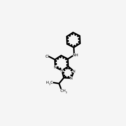 CC(C)c1nnc2c(Nc3ccccc3)cc(Cl)nn12